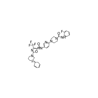 O=C(Nc1ccc(N2CCN(C(=O)Nc3ccccc3F)CC2)nc1)c1oc(N2CCC[C@H](C3C=CC=CC3)C2)nc1C(F)(F)F